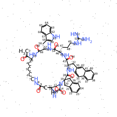 CC(=O)[C@@H]1CCCCNC(=O)C[C@@H]2NC(=O)N(C2=O)C2(Cc3ccccc3C2)C(=O)N[C@H](Cc2ccc3ccccc3c2)C(=O)N[C@@H](CCCNC(=N)N)C(=O)N[C@@H](Cc2c[nH]c3ccccc23)C(=O)N1